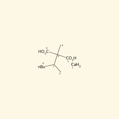 CCCCC(C)C(C)(C(=O)O)C(=O)O.[CaH2]